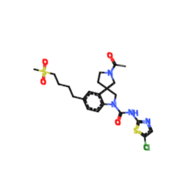 CC(=O)N1CCC2(C1)CN(C(=O)Nc1ncc(Cl)s1)c1ccc(CCCCS(C)(=O)=O)cc12